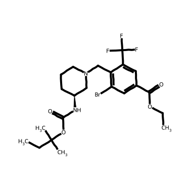 CCOC(=O)c1cc(Br)c(CN2CCC[C@H](NC(=O)OC(C)(C)CC)C2)c(C(F)(F)F)c1